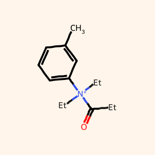 CCC(=O)[N+](CC)(CC)c1cccc(C)c1